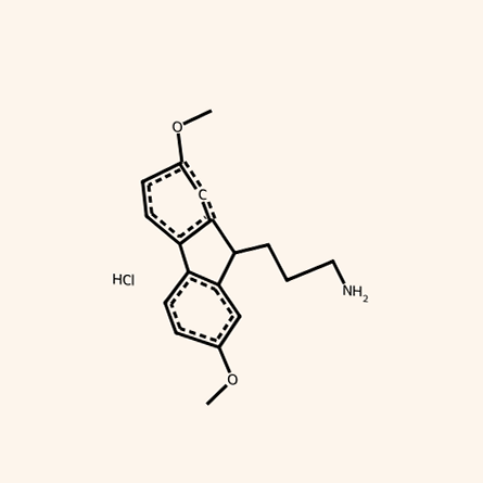 COc1ccc2c(c1)C(CCCN)c1cc(OC)ccc1-2.Cl